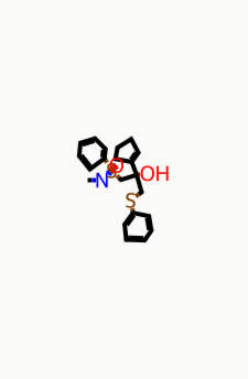 CN=S(=O)(CC(O)(CSc1ccccc1)C1=CCCC1)c1ccccc1